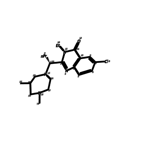 CCC[C@H](c1nc2ccc(Cl)cc2c(=O)n1CC)N1CCN(C)CC(C)C1